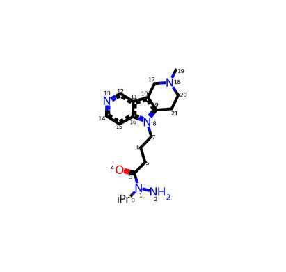 CC(C)N(N)C(=O)CCCn1c2c(c3cnccc31)CN(C)CC2